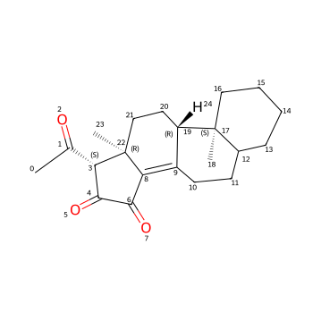 CC(=O)[C@H]1C(=O)C(=O)C2=C3CCC4CCCC[C@]4(C)[C@H]3CC[C@@]21C